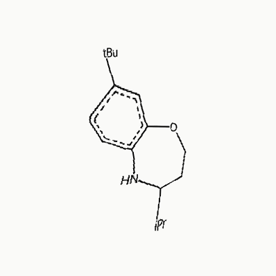 CC(C)C1CCOc2cc(C(C)(C)C)ccc2N1